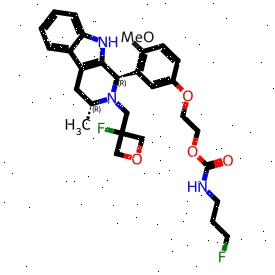 COc1ccc(OCCOC(=O)NCCCF)cc1[C@@H]1c2[nH]c3ccccc3c2C[C@@H](C)N1CC1(F)COC1